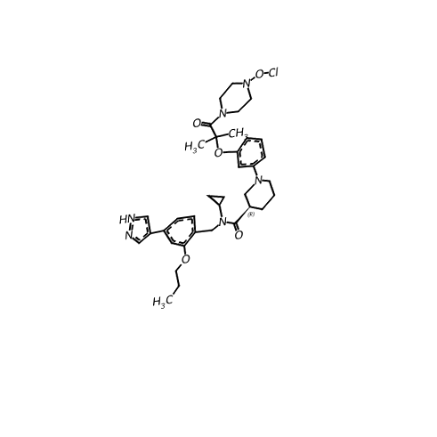 CCCOc1cc(-c2cn[nH]c2)ccc1CN(C(=O)[C@@H]1CCCN(c2cccc(OC(C)(C)C(=O)N3CCN(OCl)CC3)c2)C1)C1CC1